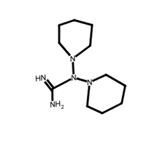 N=C(N)N(N1CCCCC1)N1CCCCC1